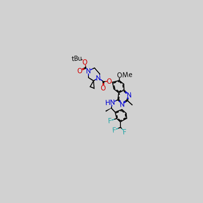 COc1cc2nc(C)nc(N[C@H](C)c3cccc(C(F)F)c3F)c2cc1OC(=O)N1CCN(C(=O)OC(C)(C)C)CC12CC2